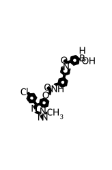 Cc1nnc2n1-c1ccc(OCC(=O)NCc3cccc(C4CCN(C(=O)c5ccc(BO)cc5)CC4)c3)cc1C(c1ccc(Cl)cc1)=NC2